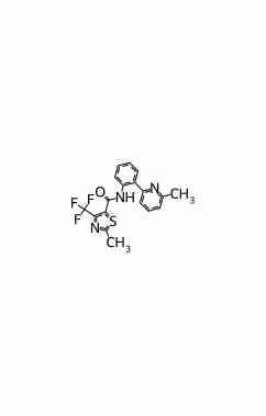 Cc1cccc(-c2ccccc2NC(=O)c2sc(C)nc2C(F)(F)F)n1